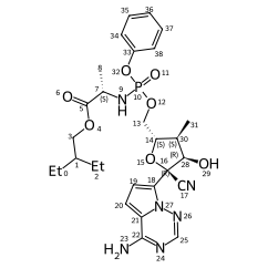 CCC(CC)COC(=O)[C@H](C)NP(=O)(OC[C@H]1O[C@@](C#N)(c2ccc3c(N)ncnn23)[C@H](O)[C@@H]1C)Oc1ccccc1